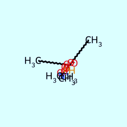 CCCCCCCCCCCCCCCC(=O)OCC(COPOCC([O-])[N+](C)(C)C)OC(=O)CCCCCCCCCCCCCCC